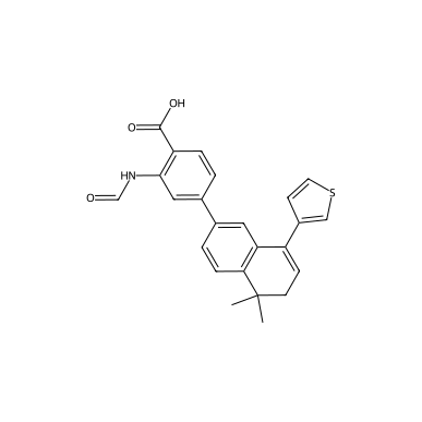 CC1(C)CC=C(c2ccsc2)c2cc(-c3ccc(C(=O)O)c(NC=O)c3)ccc21